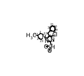 CC1CCN(c2nc(C[SH](=O)=O)nc(Cl)c2Cc2ccccc2)CC1